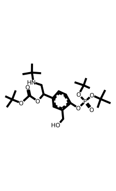 CC(C)(C)NCC(OC(=O)OC(C)(C)C)c1ccc(OP(=O)(OC(C)(C)C)OC(C)(C)C)c(CO)c1